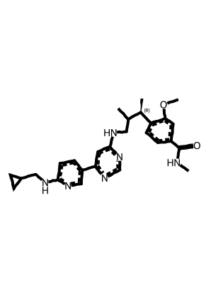 CNC(=O)c1ccc([C@H](C)C(C)CNc2cc(-c3ccc(NCC4CC4)nc3)ncn2)c(OC)c1